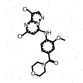 COc1cc(C(=O)N2CCOCC2)ccc1Nc1cc(Cl)nc2c(Cl)cnn12